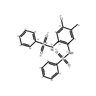 Cc1cc(NS(=O)(=O)c2ccccc2)c(NS(=O)(=O)c2ccccc2)cc1Cl